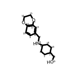 OCC1CCC(NCc2ccc3c(c2)OCCO3)CC1